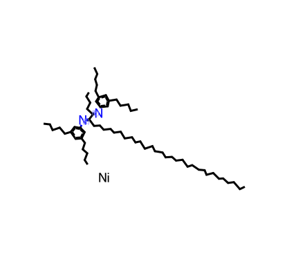 CCCCCCCCCCCCCCCCCCCCCCCCCCCCCCC(=N\c1cc(CCCCC)cc(CCCCC)c1)/C(CCCC)=N/c1cc(CCCCC)cc(CCCCC)c1.[Ni]